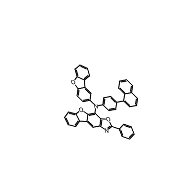 c1ccc(-c2nc3cc4c(oc5ccccc54)c(N(c4ccc(-c5cccc6ccccc56)cc4)c4ccc5oc6ccccc6c5c4)c3o2)cc1